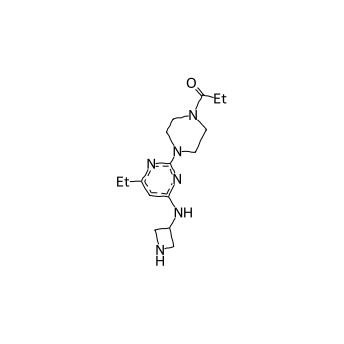 CCC(=O)N1CCN(c2nc(CC)cc(NC3CNC3)n2)CC1